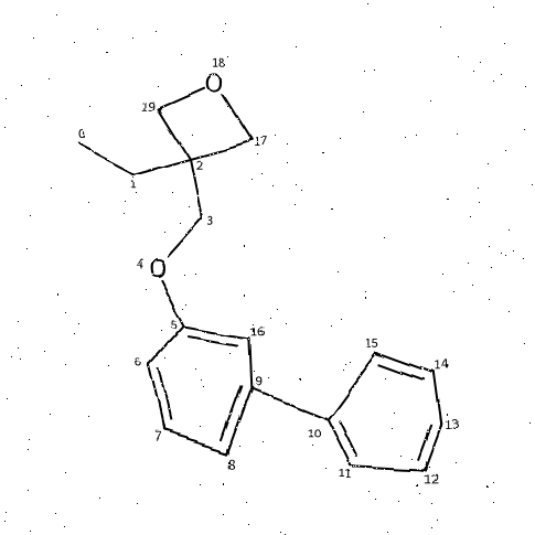 CCC1(COc2cccc(-c3ccccc3)c2)COC1